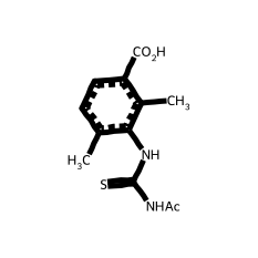 CC(=O)NC(=S)Nc1c(C)ccc(C(=O)O)c1C